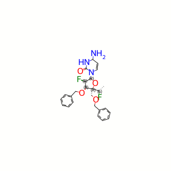 C[C@H](F)[C@]1(COCc2ccccc2)O[C@@H](N2C=CC(N)NC2=O)[C@H](F)[C@@H]1OCc1ccccc1